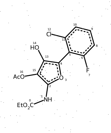 CCOC(=O)Nc1oc(-c2c(F)cccc2Cl)c(O)c1OC(C)=O